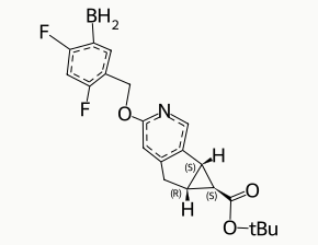 Bc1cc(COc2cc3c(cn2)[C@H]2[C@@H](C3)[C@@H]2C(=O)OC(C)(C)C)c(F)cc1F